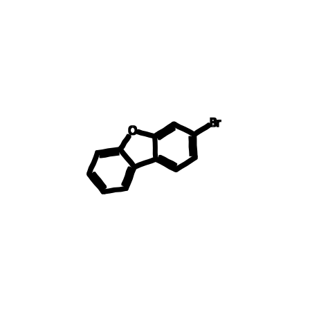 Brc1ccc2c(c1)oc1ccccc12